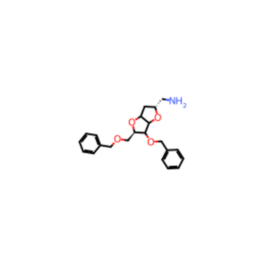 NC[C@H]1CC2O[C@H](COCc3ccccc3)C(OCc3ccccc3)C2O1